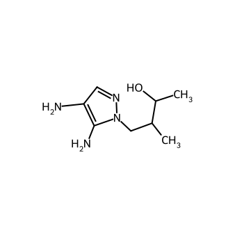 CC(O)C(C)Cn1ncc(N)c1N